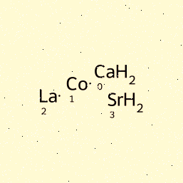 [CaH2].[Co].[La].[SrH2]